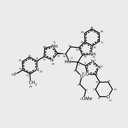 COCCOCC1(c2nnc(C3CCOCC3)o2)N[C@@H](c2nc(-c3ccc(F)c(C)n3)c[nH]2)Cc2c1[nH]c1ccccc21